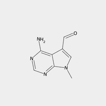 Cn1cc(C=O)c2c(N)ncnc21